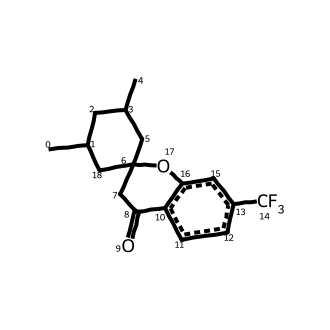 CC1CC(C)CC2(CC(=O)c3ccc(C(F)(F)F)cc3O2)C1